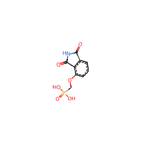 O=C1NC(=O)c2c(OCP(=O)(O)O)cccc21